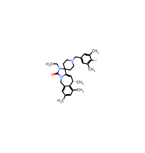 CCN1C(=O)N2Cc3cc(C)cc(C)c3[C@@H](C)C=C2C12CCN(Cc1cc(C)c(F)c(C)c1)CC2